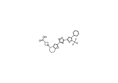 O=C(O)C1CN(C2CCCc3oc(-c4noc(-c5cc(-c6ccccc6)c(C(F)(F)F)s5)n4)cc32)C1